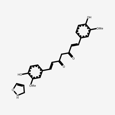 C1=CONC1.COc1cc(C=CC(=O)CC(=O)C=Cc2ccc(O)c(OC)c2)ccc1O